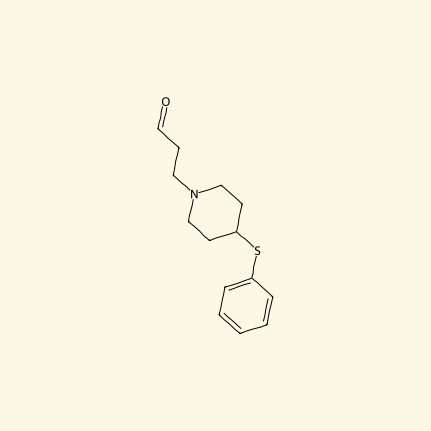 O=CCCN1CCC(Sc2ccccc2)CC1